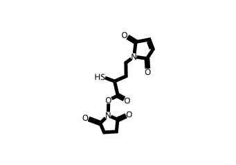 O=C(ON1C(=O)CCC1=O)C(S)CCN1C(=O)C=CC1=O